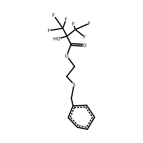 O=C(OCCSCc1ccccc1)C(O)(C(F)(F)F)C(F)(F)F